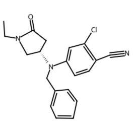 CCN1C[C@@H](N(Cc2ccccc2)c2ccc(C#N)c(Cl)c2)CC1=O